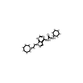 O=C(Nc1ncnc2c1cnn2CCN1CCCCCC1)NC1CCCCC1